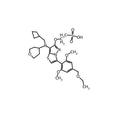 CCOCc1cc(OC)c(-c2csc3c(N(CC4CCC4)C4CCOCC4)c(OC)nn23)c(OC)c1.CS(=O)(=O)O